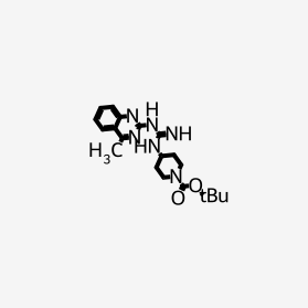 Cc1nc(NC(=N)NC2CCN(C(=O)OC(C)(C)C)CC2)nc2ccccc12